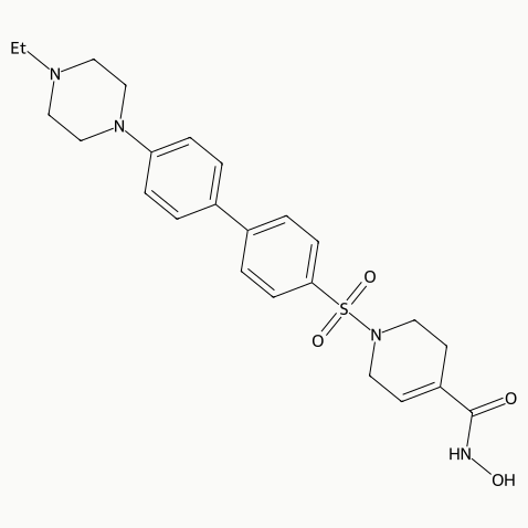 CCN1CCN(c2ccc(-c3ccc(S(=O)(=O)N4CC=C(C(=O)NO)CC4)cc3)cc2)CC1